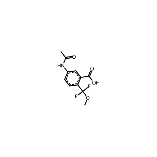 COC(F)(F)c1ccc(NC(C)=O)cc1C(=O)O